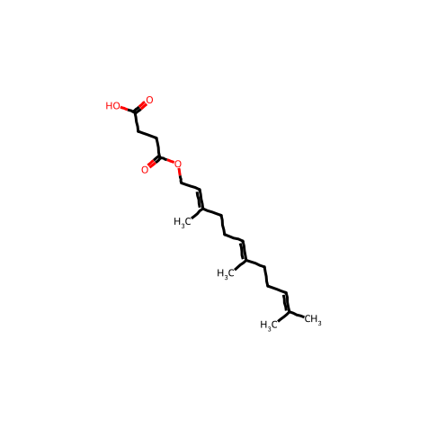 CC(C)=CCC/C(C)=C/CC/C(C)=C/COC(=O)CCC(=O)O